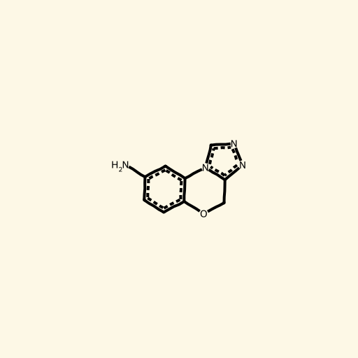 Nc1ccc2c(c1)-n1cnnc1CO2